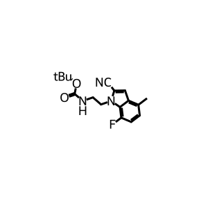 Cc1ccc(F)c2c1cc(C#N)n2CCNC(=O)OC(C)(C)C